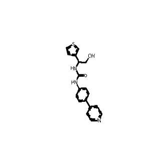 O=C(Nc1ccc(-c2ccncc2)cc1)NC(CO)c1ccsc1